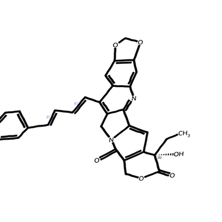 CC[C@@]1(O)C(=O)OCc2c1cc1n(c2=O)Cc2c-1nc1cc3c(cc1c2/C=C/C=C/c1ccccc1)OCO3